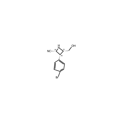 N#C[C@@H]1N[C@H](CO)[C@@H]1c1ccc(Br)cc1